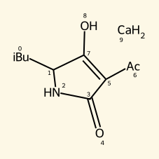 CCC(C)C1NC(=O)C(C(C)=O)=C1O.[CaH2]